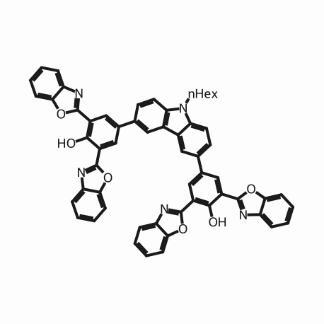 CCCCCCn1c2ccc(-c3cc(-c4nc5ccccc5o4)c(O)c(-c4nc5ccccc5o4)c3)cc2c2cc(-c3cc(-c4nc5ccccc5o4)c(O)c(-c4nc5ccccc5o4)c3)ccc21